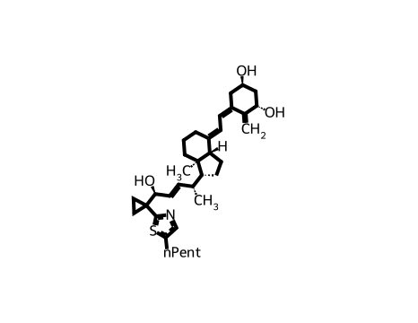 C=C1/C(=C\C=C2/CCC[C@]3(C)[C@@H]([C@H](C)/C=C/[C@H](O)C4(c5ncc(CCCCC)s5)CC4)CC[C@@H]23)C[C@@H](O)C[C@@H]1O